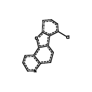 Clc1cccc2oc3c4cccnc4ccc3c12